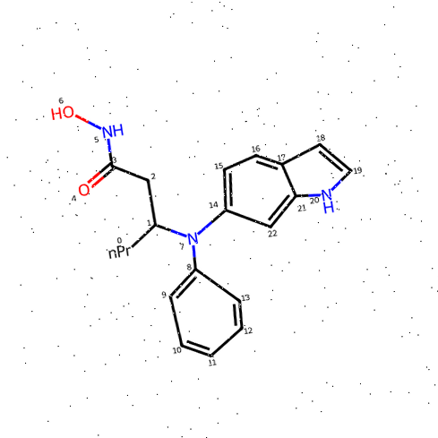 CCCC(CC(=O)NO)N(c1ccccc1)c1ccc2cc[nH]c2c1